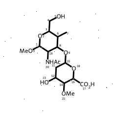 COC1OC(CO)C(C)C(OC2CC(O)C(OC)C(C(=O)O)O2)C1NC(C)=O